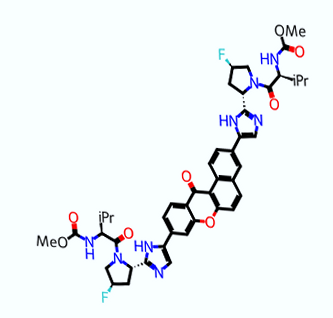 COC(=O)N[C@H](C(=O)N1C[C@H](F)C[C@H]1c1ncc(-c2ccc3c(ccc4oc5cc(-c6cnc([C@@H]7C[C@@H](F)CN7C(=O)[C@@H](NC(=O)OC)C(C)C)[nH]6)ccc5c(=O)c43)c2)[nH]1)C(C)C